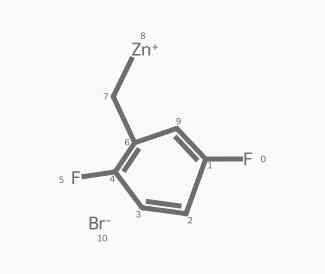 Fc1ccc(F)c([CH2][Zn+])c1.[Br-]